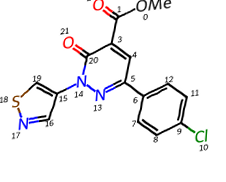 COC(=O)c1cc(-c2ccc(Cl)cc2)nn(-c2cnsc2)c1=O